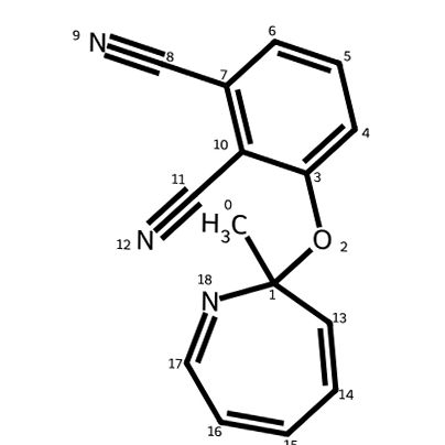 CC1(Oc2cccc(C#N)c2C#N)C=CC=CC=N1